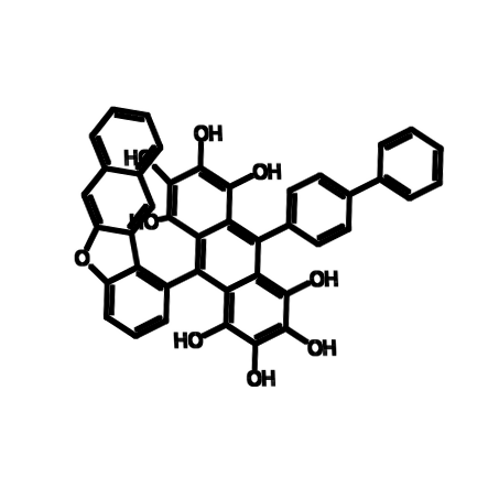 Oc1c(O)c(O)c2c(-c3cccc4oc5cc6ccccc6cc5c34)c3c(O)c(O)c(O)c(O)c3c(-c3ccc(-c4ccccc4)cc3)c2c1O